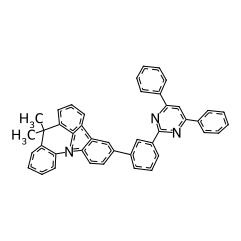 CC1(C)c2ccccc2-n2c3ccc(-c4cccc(-c5nc(-c6ccccc6)cc(-c6ccccc6)n5)c4)cc3c3cccc1c32